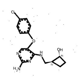 Nc1ncc(Oc2ccc(Cl)cc2)c(NC[C@@H]2CC[C@H]2O)n1